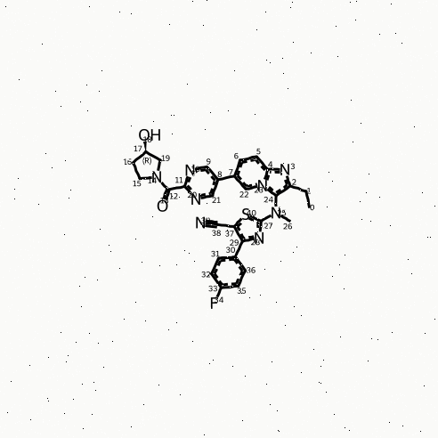 CCc1nc2ccc(-c3cnc(C(=O)N4CC[C@@H](O)C4)nc3)cn2c1N(C)c1nc(-c2ccc(F)cc2)c(C#N)s1